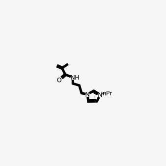 C=C(C)C(=O)NCCCn1cc[n+](CCC)c1